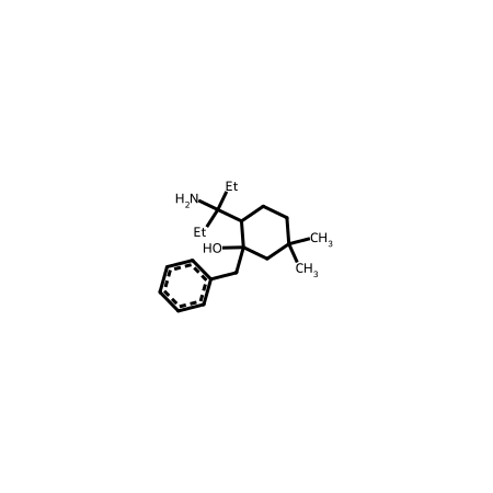 CCC(N)(CC)C1CCC(C)(C)CC1(O)Cc1ccccc1